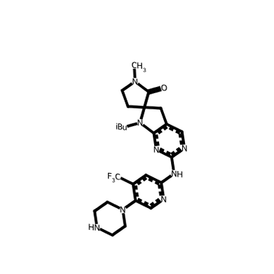 CCC(C)N1c2nc(Nc3cc(C(F)(F)F)c(N4CCNCC4)cn3)ncc2CC12CCN(C)C2=O